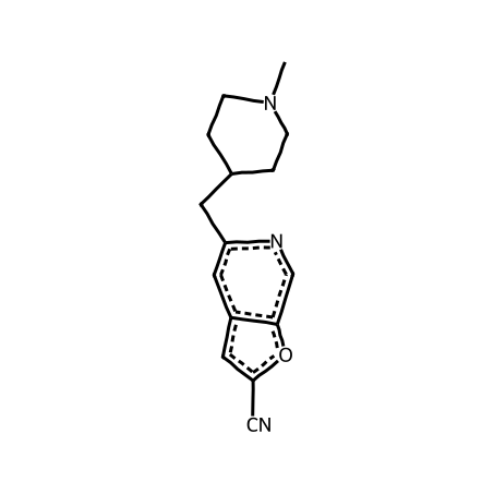 CN1CCC(Cc2cc3cc(C#N)oc3cn2)CC1